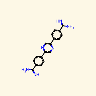 N=C(N)c1ccc(-c2cnc(-c3ccc(C(=N)N)cc3)cn2)cc1